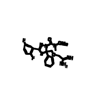 CON(C)C(=O)N1N=C(c2cc(F)ccc2F)SC1(COCC(=N)N)c1ccccc1